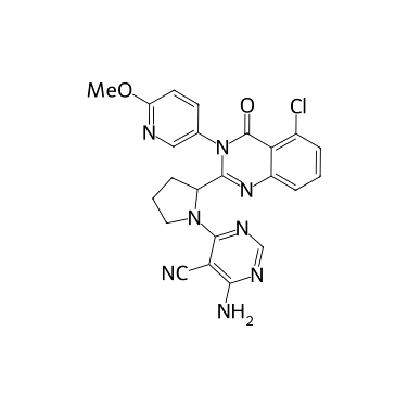 COc1ccc(-n2c(C3CCCN3c3ncnc(N)c3C#N)nc3cccc(Cl)c3c2=O)cn1